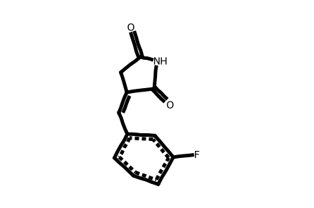 O=C1CC(=Cc2cccc(F)c2)C(=O)N1